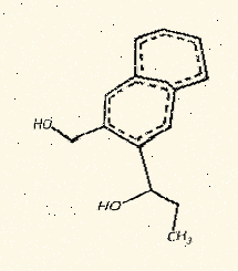 CCC(O)c1cc2ccccc2cc1CO